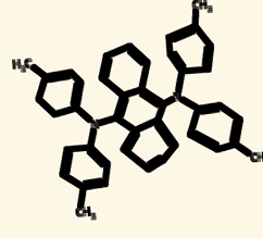 CC1=CC=C(N(c2ccc(C)cc2)c2c3ccccc3c(N(c3ccc(C)cc3)c3ccc(C)cc3)c3ccccc23)CC1